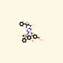 COC(=O)c1cc(OC)c2nc(N3CCN(Cc4c(-c5c(Cl)cccc5Cl)noc4C(C)C)CC3CO[Si](c3ccccc3)(c3ccccc3)C(C)(C)C)sc2c1